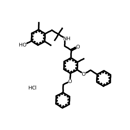 Cc1cc(O)cc(C)c1CC(C)(C)NCC(=O)c1ccc(OCc2ccccc2)c(OCc2ccccc2)c1C.Cl